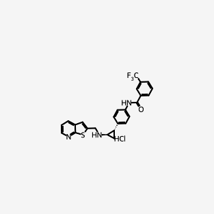 Cl.O=C(Nc1ccc([C@@H]2C[C@H]2NCc2cc3cccnc3s2)cc1)c1cccc(C(F)(F)F)c1